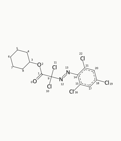 O=C(OC1CCCCC1)C(Cl)(Cl)N=Nc1c(Cl)cc(Cl)cc1Cl